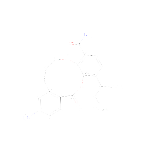 Cl.NC(=O)c1ccc(C(CC(=O)O)C(=O)O)c2c1OCCCc1cc(N)ccc1C(=O)O2